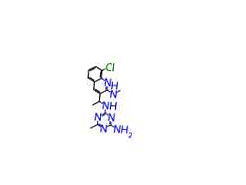 CNc1nc2c(Cl)cccc2cc1C(C)Nc1nc(C)nc(N)n1